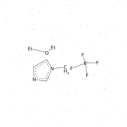 CCOCC.Cn1ccnc1.F[B-](F)(F)F